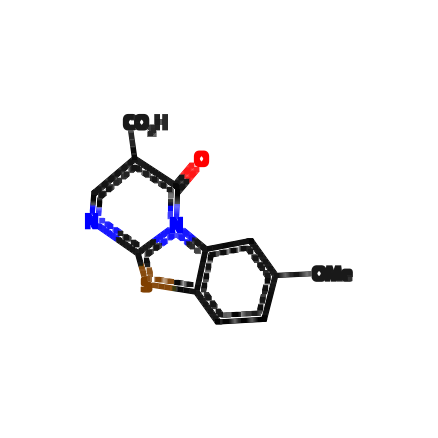 COc1ccc2sc3ncc(C(=O)O)c(=O)n3c2c1